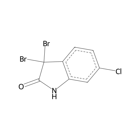 O=C1Nc2cc(Cl)ccc2C1(Br)Br